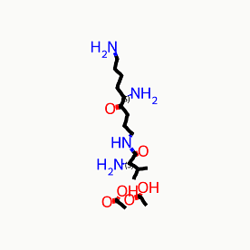 CC(=O)O.CC(=O)O.CC(C)[C@H](N)C(=O)NCCCC(=O)[C@@H](N)CCCCN